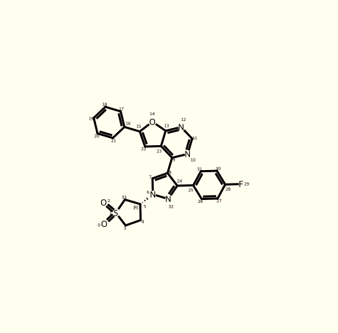 O=S1(=O)CC[C@@H](n2cc(-c3ncnc4oc(-c5ccccc5)cc34)c(-c3ccc(F)cc3)n2)C1